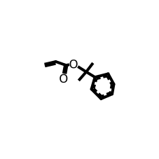 C=CC(=O)OC(C)(C)c1ccccc1